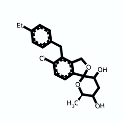 CCc1ccc(Cc2c(Cl)ccc3c2COC32O[C@H](C)C(O)CC2O)cc1